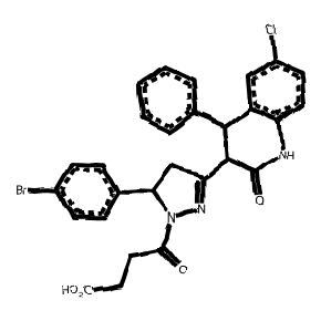 O=C(O)CCC(=O)N1N=C(C2C(=O)Nc3ccc(Cl)cc3C2c2ccccc2)CC1c1ccc(Br)cc1